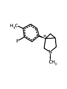 Cc1ccc([C@@]23CC2CN(C)C3)cc1F